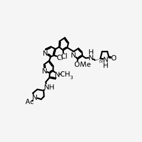 COc1nc(-c2cccc(-c3ccnc(-c4cnc5c(CNC6CCN(C(C)=O)CC6)cn(C)c5c4)c3Cl)c2Cl)ccc1CNC[C@@H]1CCC(=O)N1